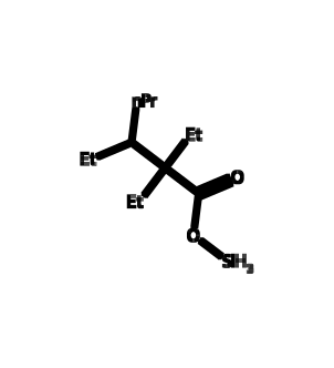 CCCC(CC)C(CC)(CC)C(=O)O[SiH3]